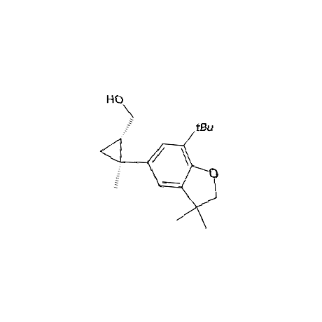 CC(C)(C)c1cc([C@@]2(C)C[C@@H]2CO)cc2c1OCC2(C)C